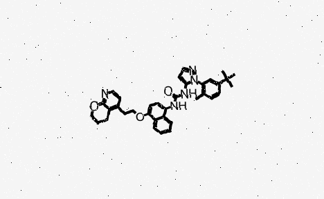 Cc1ccc(C(C)(C)C)cc1-n1nccc1NC(=O)Nc1ccc(OCCc2ccnc3c2CCCO3)c2ccccc12